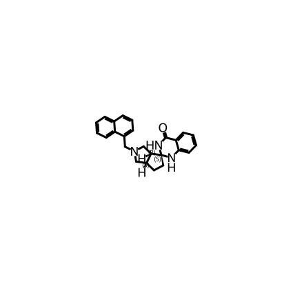 O=C1N[C@]2(CC[C@@H]3CN(Cc4cccc5ccccc45)C[C@@H]32)Nc2ccccc21